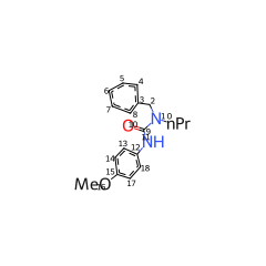 CCCN(Cc1ccccc1)C(=O)Nc1ccc(OC)cc1